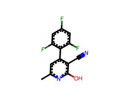 Cc1cc(-c2c(F)cc(F)cc2F)c(C#N)c(O)n1